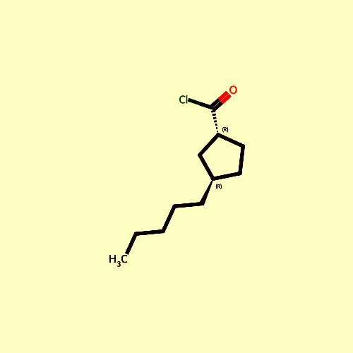 CCCCC[C@@H]1CC[C@@H](C(=O)Cl)C1